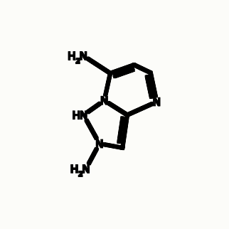 NC1=CC=NC2=CN(N)NN12